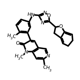 Cc1cc2c(cn1)cc(-c1cc(Nc3noc(C4CC5=CCCC=C5O4)n3)ccc1C)c(=O)n2C